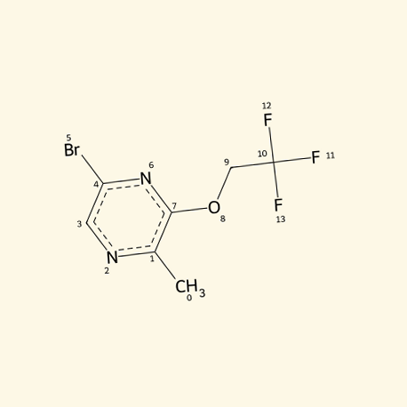 Cc1ncc(Br)nc1OCC(F)(F)F